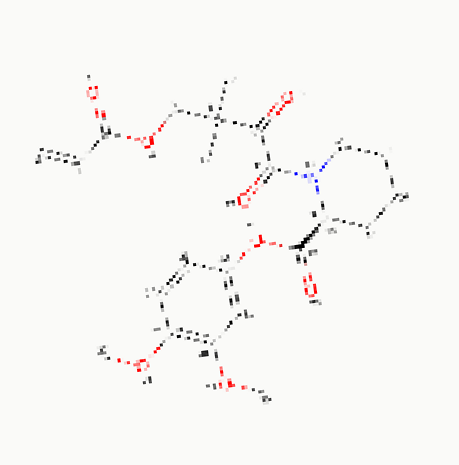 C=CC(=O)OCC(C)(C)C(=O)C(=O)N1CCCC[C@H]1C(=O)Oc1ccc(OC)c(OC)c1